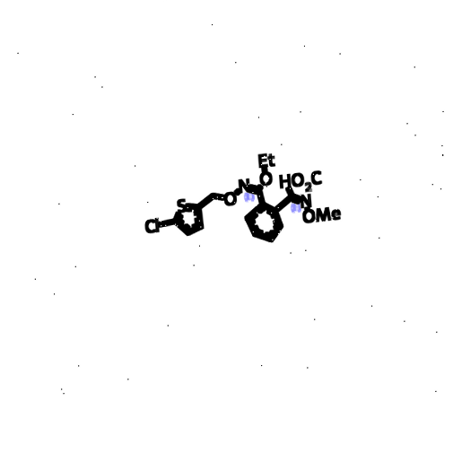 CCO/C(=N/OCc1ccc(Cl)s1)c1ccccc1/C(=N\OC)C(=O)O